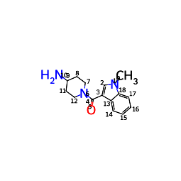 Cn1cc(C(=O)N2CCC(N)CC2)c2ccccc21